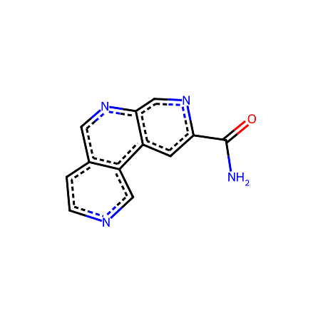 NC(=O)c1cc2c(cn1)ncc1ccncc12